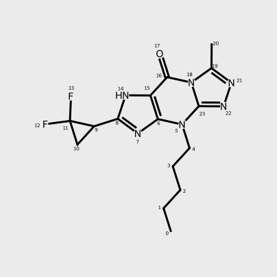 CCCCCn1c2nc(C3CC3(F)F)[nH]c2c(=O)n2c(C)nnc12